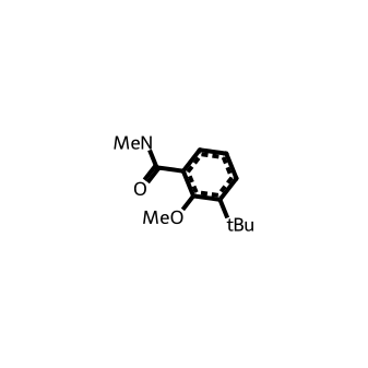 CNC(=O)c1cccc(C(C)(C)C)c1OC